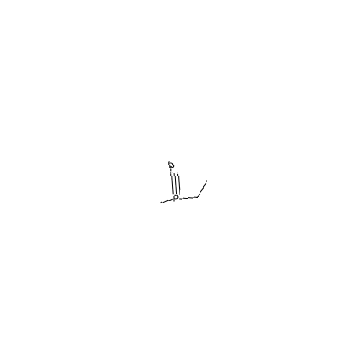 CCP(C)#P